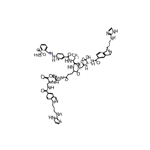 CCC(NC(=O)c1ccc(N/N=C/c2ccccc2S(=O)(=O)O)nc1)C(=O)NC(CCC(=O)NCC(=O)N[C@@H](CNC(=O)c1ccc2c(cnn2CCCNc2ncc[nH]2)c1)C(=O)O)C(=O)NCC(=O)N[C@@H](CNC(=O)c1ccc2c(cnn2CCCNc2ncc[nH]2)c1)C(=O)O